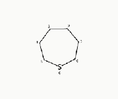 [C]1CCCCCS1